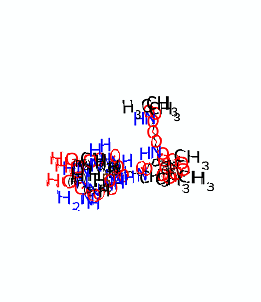 CC[C@H](C)[C@H]1NC(=O)CNC(=O)[C@@H]2Cc3c4[nH]c5cc(ccc35)OC1(CCCCCCN(C)C(=O)OCc1ccc(O[C@@H]3O[C@H](C(=O)OC)[C@@H](OC(C)=O)C[C@H]3OC(C)=O)c(C(=O)NCCOCCOCCONC(=O)OC(C)(C)C)c1)C(=O)NCC(=O)N[C@@H](C[S+]4[O-])C(=O)N[C@@H](CC(N)=O)C(=O)N1C[C@H](O)C[C@H]1C(=O)N[C@@H]([C@@H](C)[C@@H](O)CO)C(=O)N2